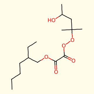 CCCCC(CC)COC(=O)C(=O)OOC(C)(C)CC(C)O